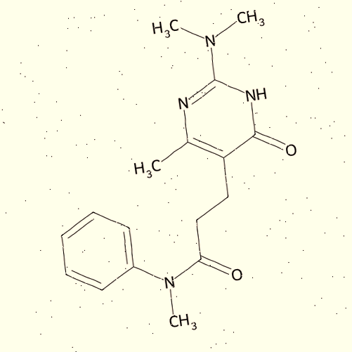 Cc1nc(N(C)C)[nH]c(=O)c1CCC(=O)N(C)c1ccccc1